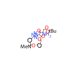 CNC(=O)c1cccc(-c2nnn(C(C(=O)OCc3ccccc3)C(=O)C(N)CC(=O)OC(C)(C)C)n2)c1